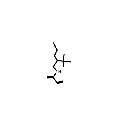 C=CC(=C)NCC(CCI)C(C)(C)C